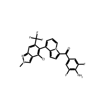 Cn1cc2c(Cl)c(-c3cccn4c(C(=O)c5cc(F)c(N)c(F)c5)ccc34)c(C(F)(F)F)cc2n1